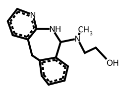 CN(CCO)C1Nc2ncccc2Cc2ccccc21